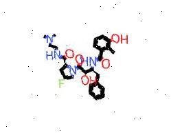 Cc1c(O)cccc1C(=O)N[C@@H](Cc1ccccc1)[C@H](O)C(=O)N1C[C@@H](F)C[C@H]1C(=O)NCCN(C)C